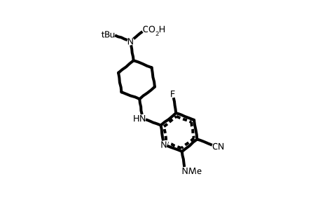 CNc1nc(NC2CCC(N(C(=O)O)C(C)(C)C)CC2)c(F)cc1C#N